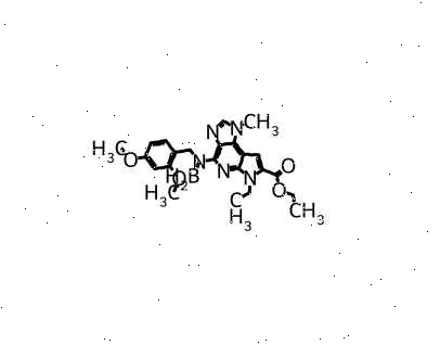 BN(Cc1ccc(OC)cc1OC)c1nc2c(cc(C(=O)OCC)n2CC)c2c1ncn2C